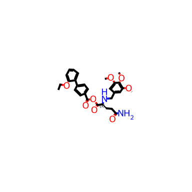 CCOc1ccccc1-c1ccc(C(=O)OC(=O)[C@H](CCC(N)=O)NCc2cc(OC)c(OC)c(OC)c2)cc1